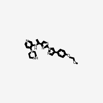 C=C(Nc1cnccc1N1CCNCC1)c1csc(-n2cc(-c3ccc(OCCOC)cc3)cn2)n1